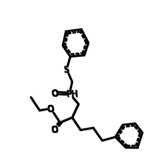 CCOC(=O)C(CCCc1ccccc1)C[PH](=O)CSc1ccccc1